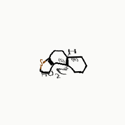 O=C(O)[C@@]12CCCC[C@@H]1CCc1sccc12